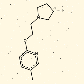 Cc1ccc(OCCN2CC[C@H](F)C2)nc1